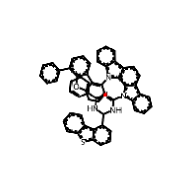 C1=CC(C2N=C(n3c4ccccc4c4ccc5c6ccccc6n(C6=C7c8cccc(-c9ccccc9)c8OC7CC=C6)c5c43)NC(c3cccc4sc5ccccc5c34)N2)=CCC1